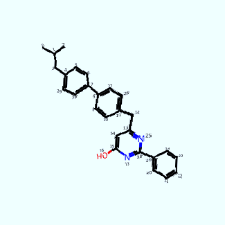 CC(C)Cc1ccc(-c2ccc(Cc3cc(O)nc(-c4ccccc4)n3)cc2)cc1